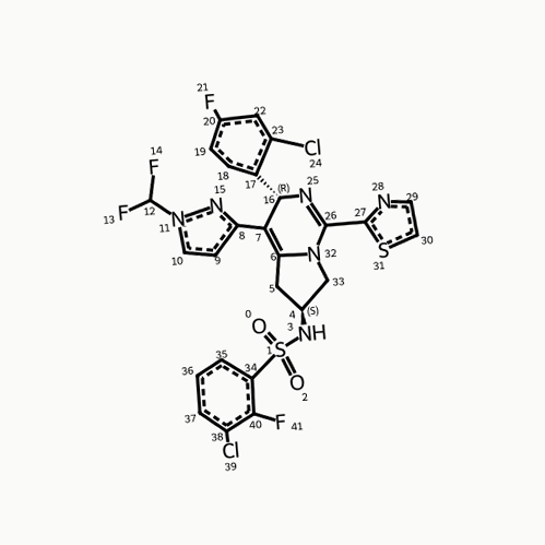 O=S(=O)(N[C@H]1CC2=C(c3ccn(C(F)F)n3)[C@H](c3ccc(F)cc3Cl)N=C(c3nccs3)N2C1)c1cccc(Cl)c1F